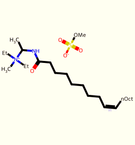 CCCCCCCC/C=C\CCCCCCCC(=O)NC(C)[N+](C)(CC)CC.COS(=O)(=O)[O-]